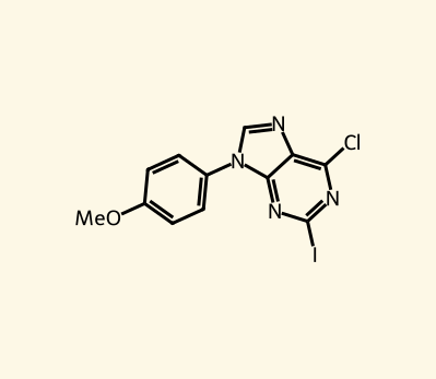 COc1ccc(-n2cnc3c(Cl)nc(I)nc32)cc1